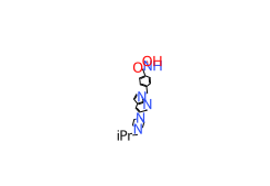 CC(C)CN1CCN(c2cnc3c(ccn3Cc3ccc(C(=O)NO)cc3)c2)CC1